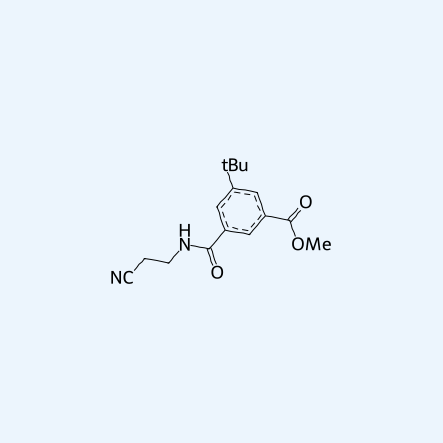 COC(=O)c1cc(C(=O)NCCC#N)cc(C(C)(C)C)c1